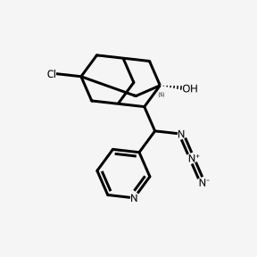 [N-]=[N+]=NC(c1cccnc1)C1C2CC3CC(Cl)(C2)C[C@@]1(O)C3